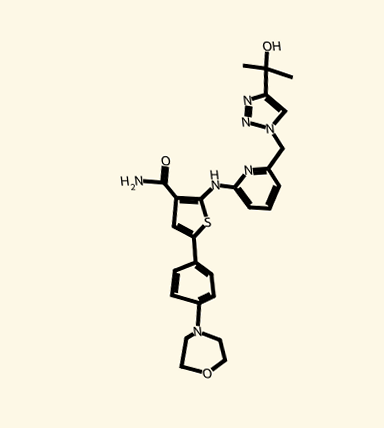 CC(C)(O)c1cn(Cc2cccc(Nc3sc(-c4ccc(N5CCOCC5)cc4)cc3C(N)=O)n2)nn1